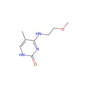 COCCNc1nc(=O)[nH]cc1C